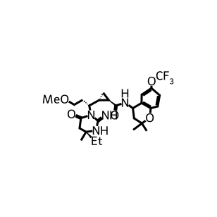 CC[C@@]1(C)CC(=O)N([C@H](CCOC)[C@@H]2C[C@H]2C(=O)NC2CC(C)(C)Oc3ccc(OC(F)(F)F)cc32)C(=N)N1